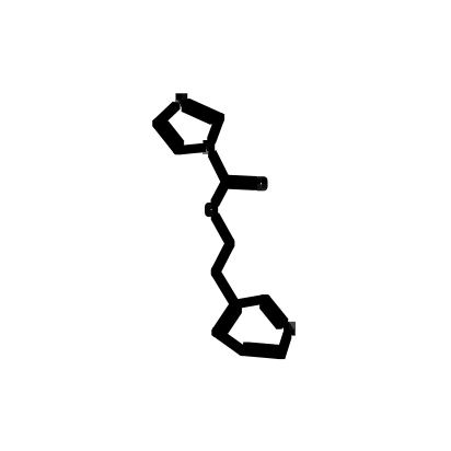 O=C(OCCc1cccnc1)n1ccnc1